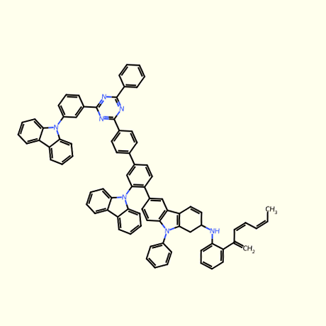 C=C(/C=C\C=C/C)c1ccccc1NC1C=Cc2c(n(-c3ccccc3)c3ccc(-c4ccc(-c5ccc(-c6nc(-c7ccccc7)nc(-c7cccc(-n8c9ccccc9c9ccccc98)c7)n6)cc5)cc4-n4c5ccccc5c5ccccc54)cc23)C1